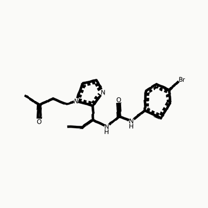 CCC(NC(=O)Nc1ccc(Br)cc1)c1nccn1CCC(C)=O